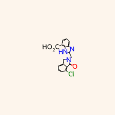 O=C(O)c1cccc2nc(CN3Cc4cccc(Cl)c4C3=O)[nH]c12